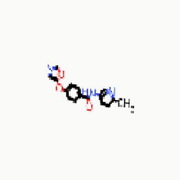 CC1CC2CCN1CC2NC(=O)c1ccc(Oc2cnco2)cc1